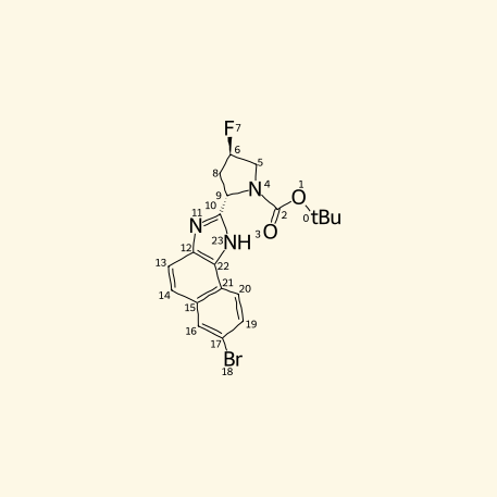 CC(C)(C)OC(=O)N1C[C@H](F)C[C@H]1c1nc2ccc3cc(Br)ccc3c2[nH]1